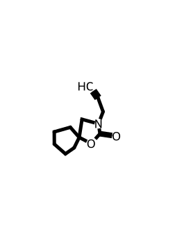 C#CCN1CC2(CCCCC2)OC1=O